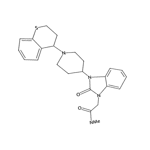 CNC(=O)Cn1c(=O)n(C2CCN(C3CCSc4ccccc43)CC2)c2ccccc21